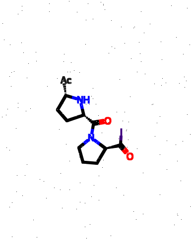 CC(=O)[C@H]1CC[C@@H](C(=O)N2CCC[C@@H]2C(=O)I)N1